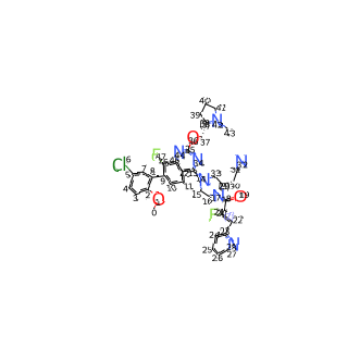 COc1ccc(Cl)cc1-c1ccc2c(N3CCN(C(=O)/C(F)=C/c4ccccn4)[C@@H](CC#N)C3)nc(OC[C@@H]3CCCN3C)nc2c1F